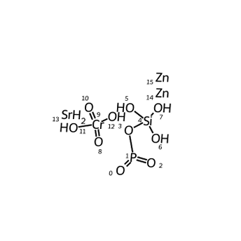 O=P(=O)O[Si](O)(O)O.[O]=[Cr](=[O])([OH])[OH].[SrH2].[Zn].[Zn]